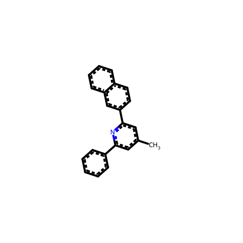 Cc1cc(-c2ccccc2)nc(-c2ccc3ccccc3c2)c1